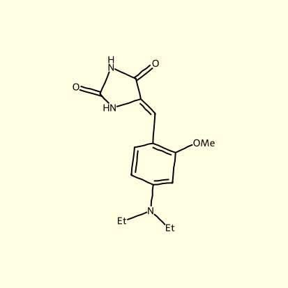 CCN(CC)c1ccc(/C=C2\NC(=O)NC2=O)c(OC)c1